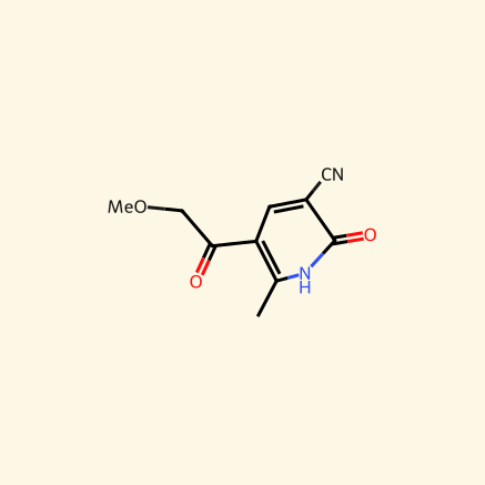 COCC(=O)c1cc(C#N)c(=O)[nH]c1C